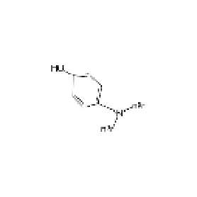 CCCN(CCC)c1ccc(O)cc1